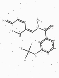 CN(/C=C(\C=C/C=N)NF)C(=N)c1cccc(OC(F)(F)F)c1